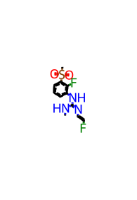 CN/C(=N\C=C\F)Nc1cccc(S(C)(=O)=O)c1F